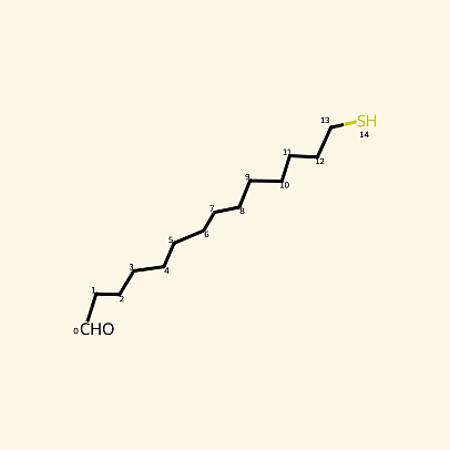 O=CCCCCCCCCCCCCCS